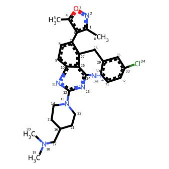 Cc1noc(C)c1-c1ccc2nc(N3CCC(CN(C)C)CC3)nc(N)c2c1Cc1cccc(Cl)c1